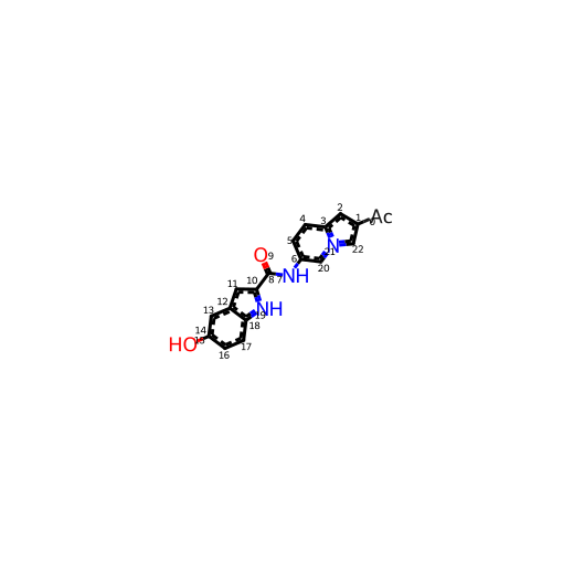 CC(=O)c1cc2ccc(NC(=O)c3cc4cc(O)ccc4[nH]3)cn2c1